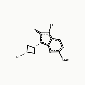 CCn1c(=O)n([C@H]2C[C@@H](C#N)C2)c2nc(SC)ncc21